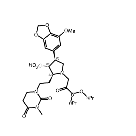 CCCON(CCC)C(=O)CN1C[C@H](c2cc(OC)c3c(c2)OCO3)[C@@H](C(=O)O)[C@@H]1CCN1CCC(=O)N(C)C1=O